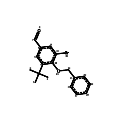 CC(C)(C)c1cc(C=O)cc(Br)c1OCc1ccccc1